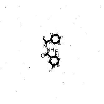 CC(=NNC(=O)c1cc(F)ccc1F)c1ccccc1